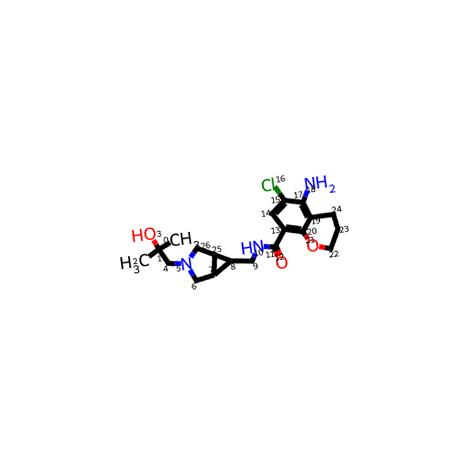 CC(C)(O)CN1CC2C(CNC(=O)c3cc(Cl)c(N)c4c3OCCC4)C2C1